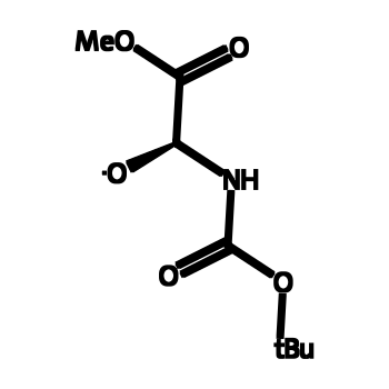 COC(=O)[C@H]([O])NC(=O)OC(C)(C)C